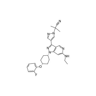 CCNc1cc2c(cn1)c(-c1cnn(C(C)(C)C#N)c1)nn2[C@H]1CC[C@@H](Oc2ccccc2F)CC1